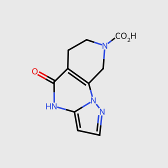 O=C(O)N1CCc2c(n3nccc3[nH]c2=O)C1